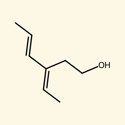 C/C=C/C(=C/C)CCO